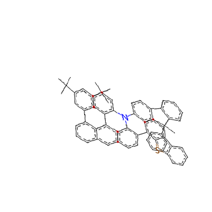 CC(C)(C)c1cc(-c2cccc3cccc(-c4ccccc4N(c4ccc5c(c4)C(C)(c4ccccc4)c4ccccc4-5)c4ccccc4-c4cccc5c4sc4ccccc45)c23)cc(C(C)(C)C)c1